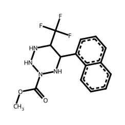 COC(=O)N1NNC(C(F)(F)F)C(c2cccc3ccccc23)N1